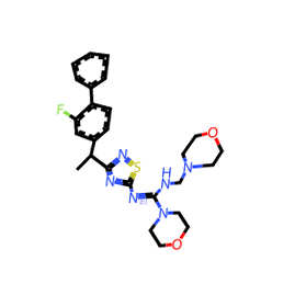 CC(c1ccc(-c2ccccc2)c(F)c1)c1nsc(/N=C(\NCN2CCOCC2)N2CCOCC2)n1